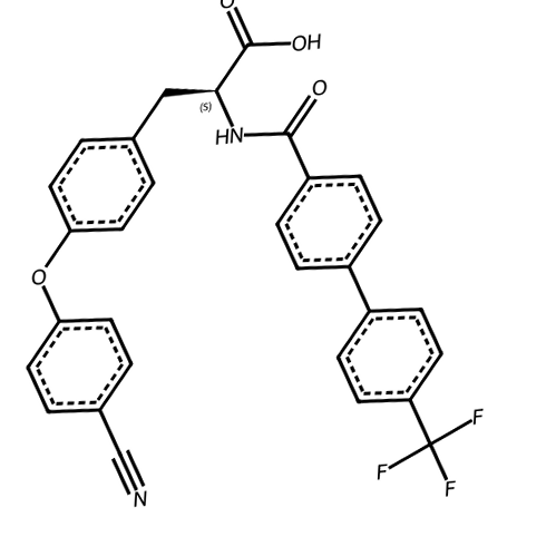 N#Cc1ccc(Oc2ccc(C[C@H](NC(=O)c3ccc(-c4ccc(C(F)(F)F)cc4)cc3)C(=O)O)cc2)cc1